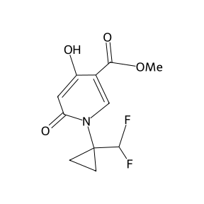 COC(=O)c1cn(C2(C(F)F)CC2)c(=O)cc1O